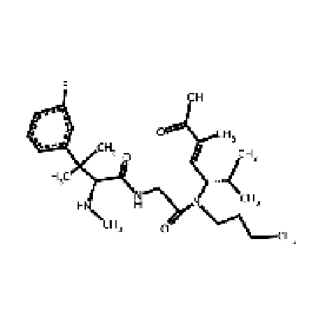 CCCCN(C(=O)CNC(=O)[C@@H](NC)C(C)(C)c1cccc(F)c1)[C@H](/C=C(\C)C(=O)O)C(C)C